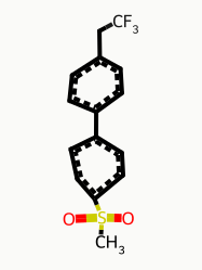 CS(=O)(=O)c1ccc(-c2ccc(CC(F)(F)F)cc2)cc1